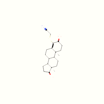 C[C@]12CCC(=O)C(SCC#N)=C1CCC1C2CC[C@]2(C)C(=O)CCC12